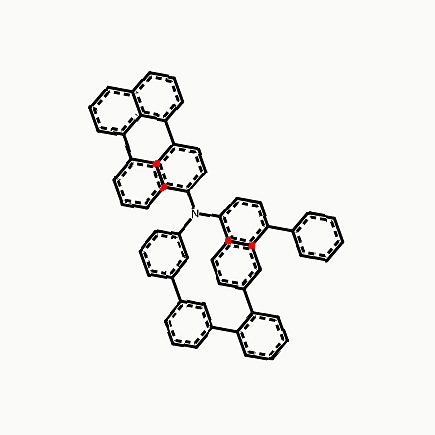 c1ccc(-c2ccc(N(c3ccc(-c4cccc5cccc(-c6ccccc6)c45)cc3)c3cccc(-c4cccc(-c5ccccc5-c5ccccc5)c4)c3)cc2)cc1